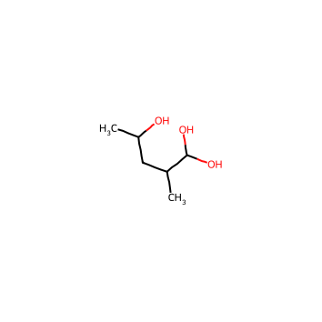 CC(O)CC(C)C(O)O